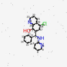 Oc1c(C(Nc2ccccn2)c2ccccc2)cc(Cl)c2cccnc12